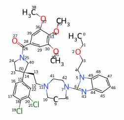 CCOCCn1c(N2CCCN(CC[C@@]3(c4ccc(Cl)c(Cl)c4)CCN(C(=O)c4cc(OC)c(OC)c(OC)c4)C3)CC2)nc2ccccc21